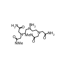 BN(CCN(CC(N)=O)CC(=O)NC)CCN(CC(N)=O)CC(=O)NC